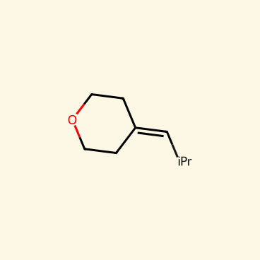 CC(C)C=C1CCOCC1